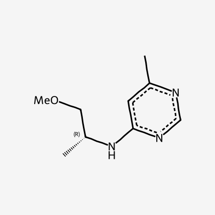 COC[C@@H](C)Nc1cc(C)ncn1